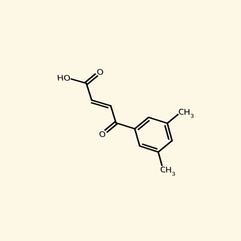 Cc1cc(C)cc(C(=O)C=CC(=O)O)c1